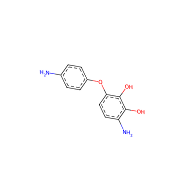 Nc1ccc(Oc2ccc(N)c(O)c2O)cc1